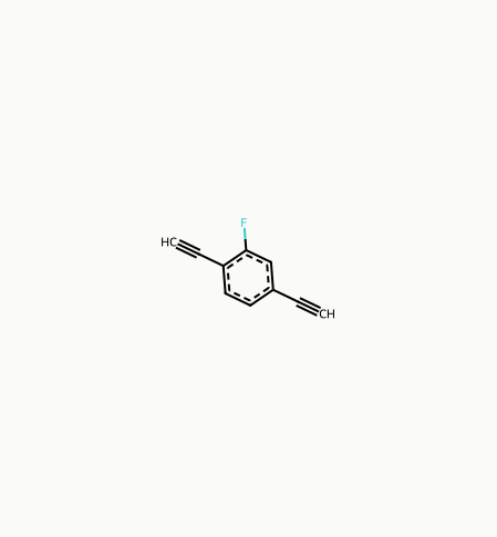 C#Cc1ccc(C#C)c(F)c1